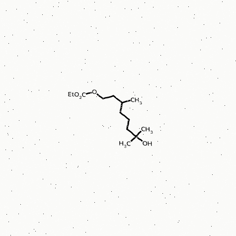 CCOC(=O)OCCC(C)CCCC(C)(C)O